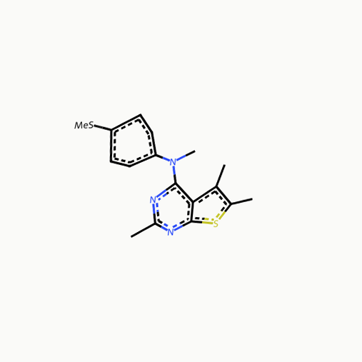 CSc1ccc(N(C)c2nc(C)nc3sc(C)c(C)c23)cc1